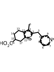 Cc1c(Cc2cccnc2)sc2c1CCC(C(=O)O)C2